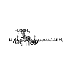 CCCCCCCCCCCCCCCC(=O)N[C@@H](CCC(=O)N[C@@H](CCCCCNC(C)C)C(=O)NCCCCC(C)C)C(=O)O